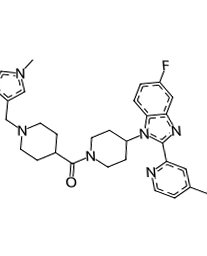 Cc1ccnc(-c2nc3cc(F)ccc3n2C2CCN(C(=O)C3CCN(Cc4ccn(C)c4)CC3)CC2)c1